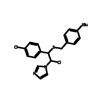 CC(C)(C)c1ccc(CSC(c2ccc(Cl)cc2)C(Cl)n2ccnc2)cc1